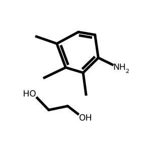 Cc1ccc(N)c(C)c1C.OCCO